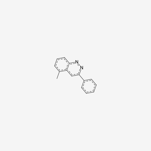 Cc1cccc2nnc(-c3ccccc3)cc12